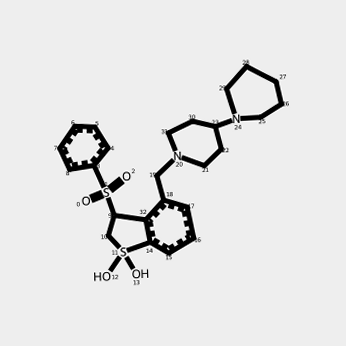 O=S(=O)(c1ccccc1)C1CS(O)(O)c2cccc(CN3CCC(N4CCCCC4)CC3)c21